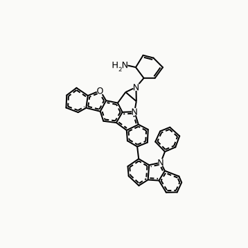 NC1C=CC=CC1N1C2c3c4oc5ccccc5c4cc4c5cc(-c6cccc7c8ccccc8n(-c8ccccc8)c67)ccc5n(c34)C21